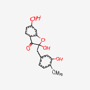 COc1ccc(CC2(O)Oc3cc(O)ccc3C2=O)cc1O